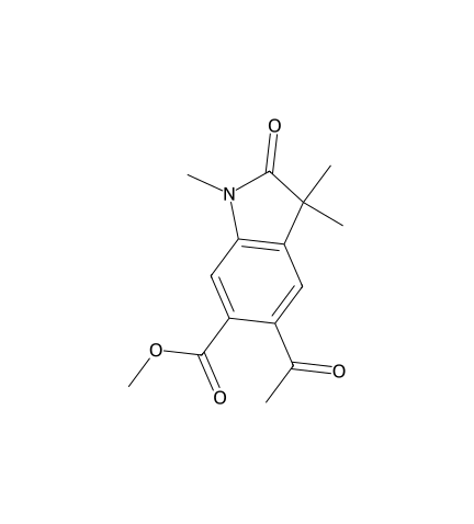 COC(=O)c1cc2c(cc1C(C)=O)C(C)(C)C(=O)N2C